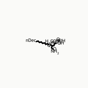 CCCCCCCCCCCCCCCCCCOCC(CC(N)=O)CC(COP(=O)(O)O)[N+](C)(C)C